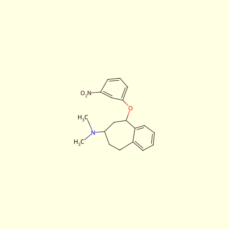 CN(C)C1CCc2ccccc2C(Oc2cccc([N+](=O)[O-])c2)C1